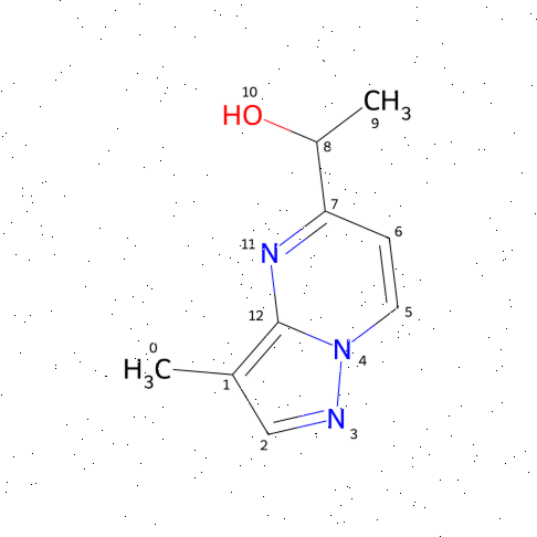 Cc1cnn2ccc(C(C)O)nc12